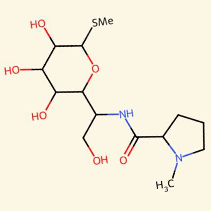 CSC1OC(C(CO)NC(=O)C2CCCN2C)C(O)C(O)C1O